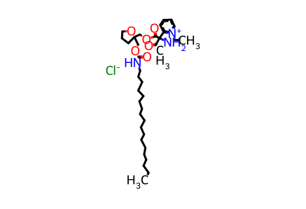 CCCCCCCCCCCCCCCCCCNC(=O)OCC1(COC(=O)C(N)(C(C)=O)c2cccc[n+]2CC)CCCO1.[Cl-]